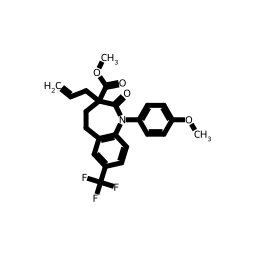 C=CCC1(C(=O)OC)CCc2cc(C(F)(F)F)ccc2N(c2ccc(OC)cc2)C1=O